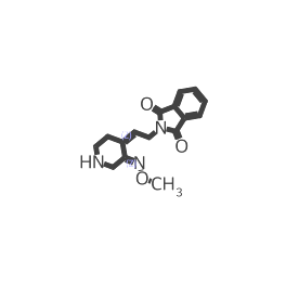 CO/N=C1\CNCC\C1=C\CN1C(=O)c2ccccc2C1=O